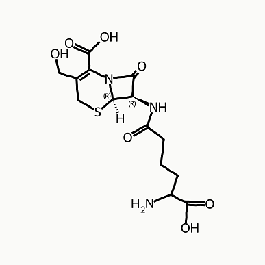 NC(CCCC(=O)N[C@@H]1C(=O)N2C(C(=O)O)=C(CO)CS[C@H]12)C(=O)O